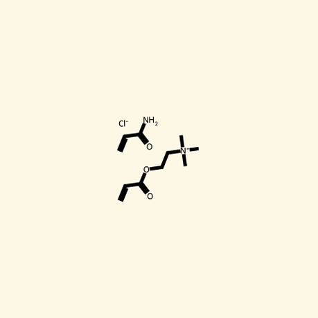 C=CC(=O)OCC[N+](C)(C)C.C=CC(N)=O.[Cl-]